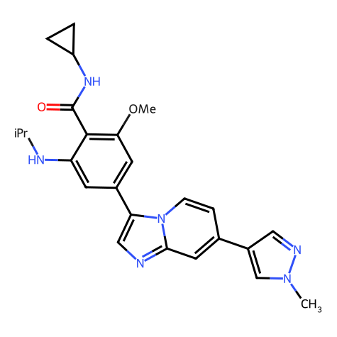 COc1cc(-c2cnc3cc(-c4cnn(C)c4)ccn23)cc(NC(C)C)c1C(=O)NC1CC1